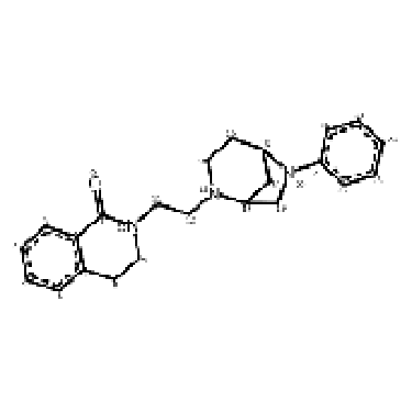 O=C1c2ccccc2CCN1CCN1CCC2CC1CN2c1ccccc1